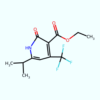 CCOC(=O)c1c(C(F)(F)F)cc(C(C)C)[nH]c1=O